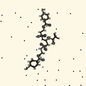 C=C(C)C(=O)OC(CS(=O)(=O)CCOC(=O)c1ccc(F)cc1)CS(=O)(=O)CCOC(=O)c1ccc(F)cc1